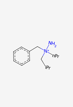 CCC[N+](N)(Cc1ccccc1)CC(C)C